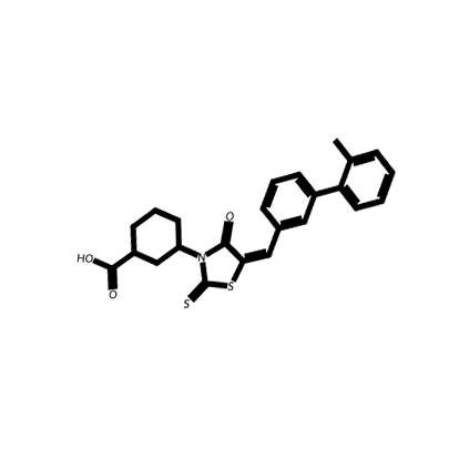 Cc1ccccc1-c1cccc(C=C2SC(=S)N(C3CCCC(C(=O)O)C3)C2=O)c1